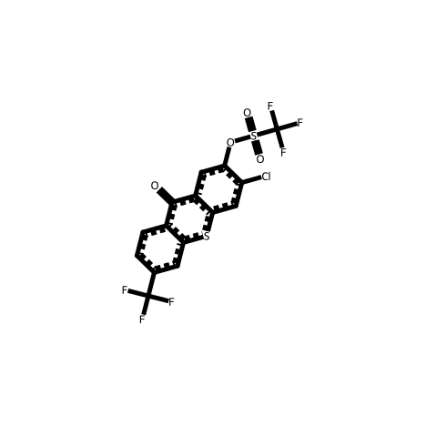 O=c1c2ccc(C(F)(F)F)cc2sc2cc(Cl)c(OS(=O)(=O)C(F)(F)F)cc12